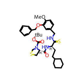 COc1ccc(CNC(=S)[C@@H](CCC2CCCCC2)NC(=O)[C@@H]2CSCN2C(=O)OC(C)(C)C)cc1OCc1ccccc1